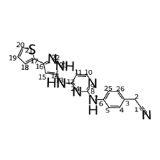 N#CCc1ccc(Nc2nccc(Nc3cc(-c4cccs4)n[nH]3)n2)cc1